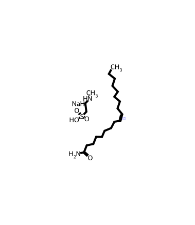 CCCCCCCC/C=C\CCCCCCCC(N)=O.CNCCS(=O)(=O)O.[NaH]